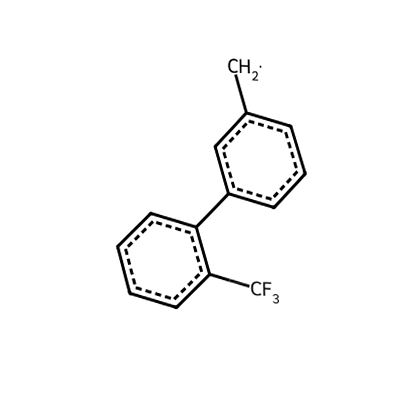 [CH2]c1cccc(-c2ccccc2C(F)(F)F)c1